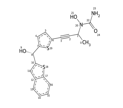 CC(C#Cc1ccc([C@@H](O)c2cc3ccccc3s2)s1)N(O)C(N)=O